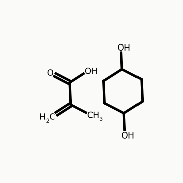 C=C(C)C(=O)O.OC1CCC(O)CC1